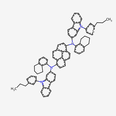 CCCc1cccc(-n2c3ccccc3c3ccc(N(c4cccc5c4CCCC5)c4ccc5ccc6c(N(c7ccc8c9ccccc9n(-c9cccc(CCC)c9)c8c7)c7cccc8c7CCCC8)ccc7ccc4c5c76)cc32)c1